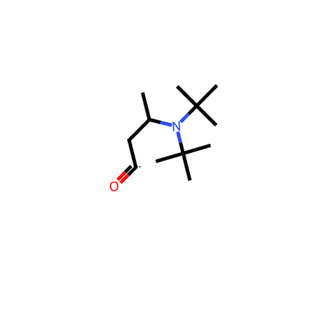 CC(C[C]=O)N(C(C)(C)C)C(C)(C)C